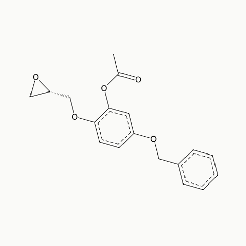 CC(=O)Oc1cc(OCc2ccccc2)ccc1OC[C@@H]1CO1